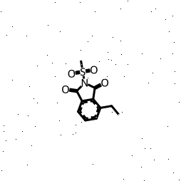 CCc1cccc2c1C(=O)N(S(C)(=O)=O)C2=O